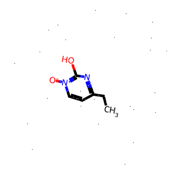 CCc1cc[n+]([O-])c(O)n1